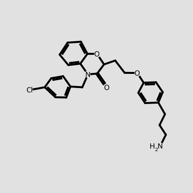 NCCCc1ccc(OCCC2Oc3ccccc3N(Cc3ccc(Cl)cc3)C2=O)cc1